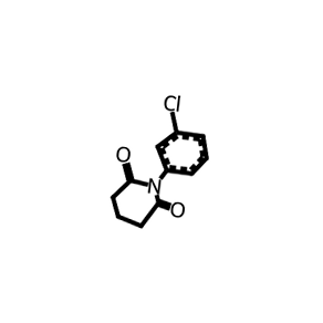 O=C1CCCC(=O)N1c1cccc(Cl)c1